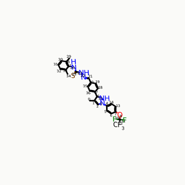 CC1=CN(c2ccc(OC(F)(F)C(F)(F)F)cc2)NC1c1ccc(/C=N/NC(=S)Nc2c(C)cccc2C)cc1